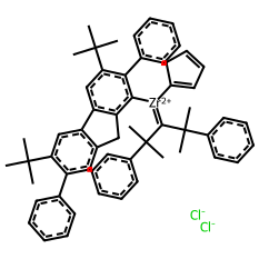 CC(C)(C)c1cc2c(cc1-c1ccccc1)Cc1c-2cc(C(C)(C)C)c(-c2ccccc2)[c]1[Zr+2]([C]1=CC=CC1)=[C](C(C)(C)c1ccccc1)C(C)(C)c1ccccc1.[Cl-].[Cl-]